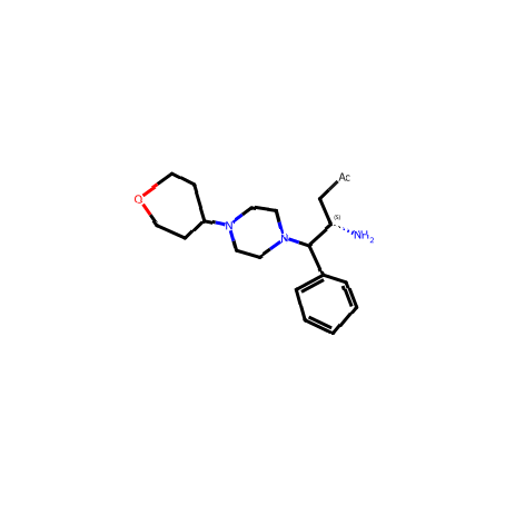 CC(=O)C[C@H](N)C(c1ccccc1)N1CCN(C2CCOCC2)CC1